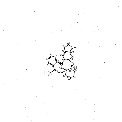 NC(=O)c1ccccc1N1C[C@@H]2COCC[C@@H]2Oc2nc3[nH]ccc3cc21